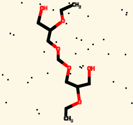 CCOC(CO)COCOCC(CO)OCC